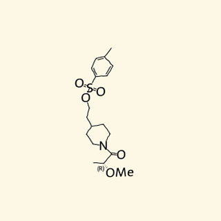 CO[C@H](C)C(=O)N1CCC(CCOS(=O)(=O)c2ccc(C)cc2)CC1